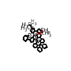 CC(C)(C)c1ccc(N2c3cc(C(C)(C)C)cc4c3B(c3ccc5c(oc6ccccc65)c32)N2c3ccccc3C(c3ccccc3)(c3ccccc3)c3cccc-4c32)c(-c2ccccc2)c1